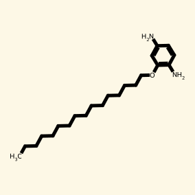 CCCCCCCCCCCCCCCCOc1cc(N)ccc1N